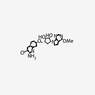 COc1ncnc2c1ccn2[C@@H]1C[C@H](COc2ccc3cc(Cl)c(N)nc3c2)[C@@H](O)[C@H]1O